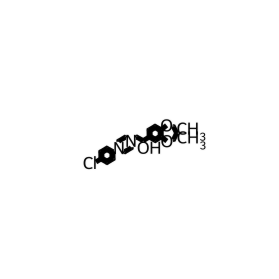 CC1(C)COc2ccc(C(O)CN3CCN(c4ccc(Cl)cc4)CC3)cc2OC1